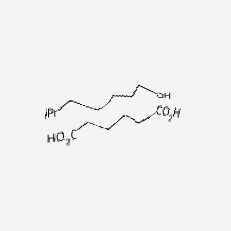 CC(C)CCCCCO.O=C(O)CCCCC(=O)O